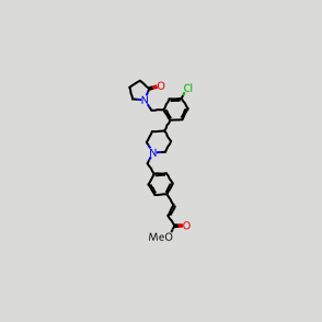 COC(=O)/C=C/c1ccc(CN2CCC(c3ccc(Cl)cc3CN3CCCC3=O)CC2)cc1